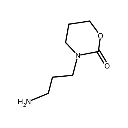 NCCCN1CCCOC1=O